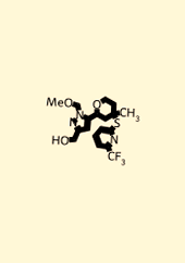 COCn1nc(CO)cc1C1CC(C)(Sc2cccc(C(F)(F)F)n2)CCO1